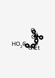 CCc1nc(Oc2ccc(C(=O)O)cc2)ccc1CN1CCC(N2C(=O)N(C3CCOCC3)CC2c2ccccc2)CC1